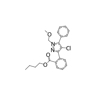 CCCCOC(=O)c1ccccc1-c1nn(COC)c(-c2ccccc2)c1Cl